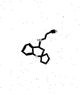 N#CCCNC1CC2(CCCC2)Oc2ccccc21